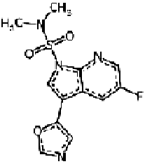 CN(C)S(=O)(=O)n1cc(-c2cnco2)c2cc(F)cnc21